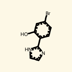 Oc1cc(Br)ccc1-c1ncc[nH]1